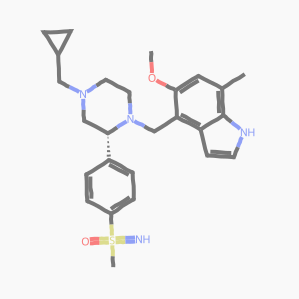 COc1cc(C)c2[nH]ccc2c1CN1CCN(CC2CC2)C[C@H]1c1ccc(S(C)(=N)=O)cc1